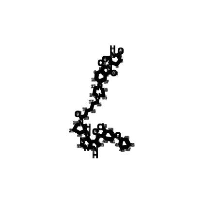 O=C1CCC(N2C(=O)c3ccc(N4CCN(CCCCCC(=O)N5CCCC(Nc6ncnc7[nH]cc(C(=O)c8ccc(Oc9ccccc9)cc8Cl)c67)C5)CC4)cc3C2=O)C(=O)N1